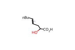 CCCC/C=C/CC(O)C(=O)O